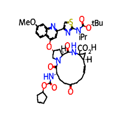 COc1ccc2c(O[C@@H]3C[C@H]4C(=O)N[C@]5(C(=O)O)C[C@H]5/C=C\CCC(=O)CC[C@H](NC(=O)OC5CCCC5)C(=O)N4C3)cc(-c3csc(N(C(=O)OC(C)(C)C)C(C)C)n3)nc2c1